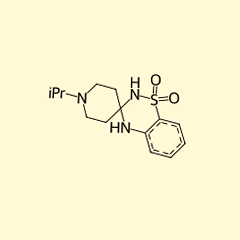 CC(C)N1CCC2(CC1)Nc1ccccc1S(=O)(=O)N2